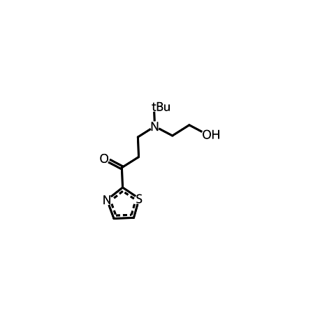 CC(C)(C)N(CCO)CCC(=O)c1nccs1